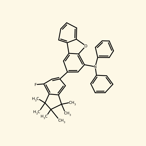 CC1(C)c2cc(-c3cc(N(c4ccccc4)c4ccccc4)c4oc5ccccc5c4c3)cc(F)c2C(C)(C)C1(C)C